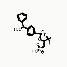 CC(c1ccccc1)c1ccc(C(=O)OC(CS(=O)(=O)O)C(F)(F)F)cc1